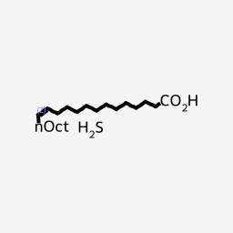 CCCCCCCC/C=C\CCCCCCCCCCCC(=O)O.S